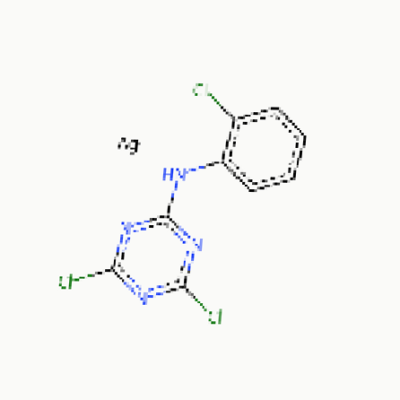 Clc1nc(Cl)nc(Nc2ccccc2Cl)n1.[Ag]